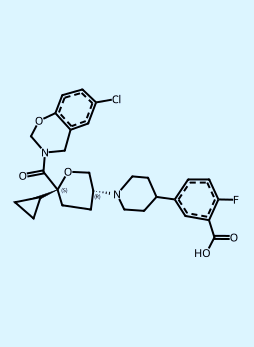 O=C(O)c1cc(C2CCN([C@@H]3CC[C@@](C(=O)N4COc5ccc(Cl)cc5C4)(C4CC4)OC3)CC2)ccc1F